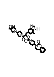 Cc1cc([C@@H](C)C(OC(=O)N2CCC(N3CCc4ccccc4NC3=O)CC2)C(=O)N2CCC(N3CCC(C)(O)CC3)CC2)cc2nc[nH]c12